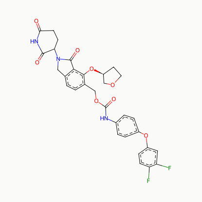 O=C1CCC(N2Cc3ccc(COC(=O)Nc4ccc(Oc5ccc(F)c(F)c5)cc4)c(O[C@H]4CCOC4)c3C2=O)C(=O)N1